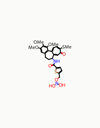 COc1cc2c(c(OC)c1OC)-c1ccc(SC)c(=O)cc1[C@@H](NC(=O)c1ccc(CON(O)O)s1)CC2